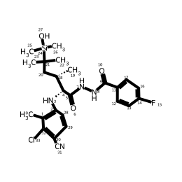 Cc1c(N[C@@H](C(=O)NNC(=O)c2ccc(F)cc2)[C@@H](C)CC(C)(C)[Si](C)(C)O)ccc(C#N)c1Cl